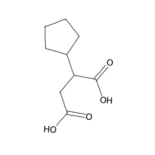 O=C(O)CC(C(=O)O)C1CCCC1